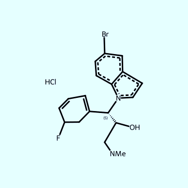 CNCC(O)[C@H](C1=CC=CC(F)C1)n1ccc2cc(Br)ccc21.Cl